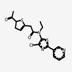 CCN(C(=O)CC1=CCC(C(C)=O)S1)c1sc(-c2cccnc2)nc1Cl